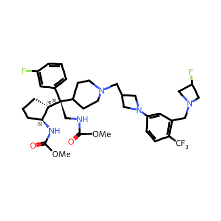 COC(=O)NC[C@@](c1cccc(F)c1)(C1CCN(CC2CN(c3ccc(C(F)(F)F)c(CN4CC(F)C4)c3)C2)CC1)[C@H]1CCC[C@@H]1NC(=O)OC